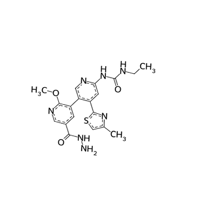 CCNC(=O)Nc1cc(-c2nc(C)cs2)c(-c2cc(C(=O)NN)cnc2OC)cn1